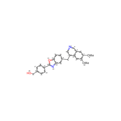 COc1cc2cncc(Cc3ccc4oc(-c5ccc(CO)cc5)nc4c3)c2cc1OC